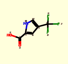 O=C(O)c1cc(C(F)(F)F)c[nH]1